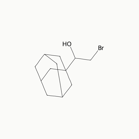 OC(CBr)C12CC3CC(CC(C3)C1)C2